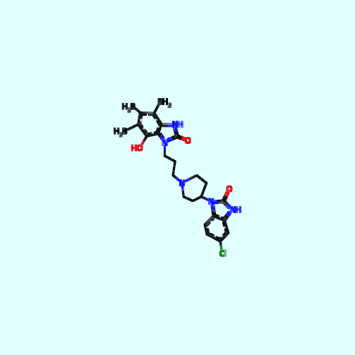 Bc1c(B)c(O)c2c([nH]c(=O)n2CCCN2CCC(n3c(=O)[nH]c4cc(Cl)ccc43)CC2)c1B